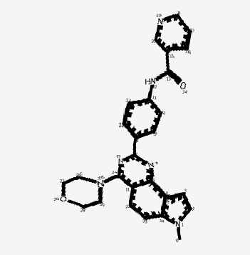 Cn1ccc2c3nc(-c4ccc(NC(=O)c5cccnc5)cc4)nc(N4CCOCC4)c3ccc21